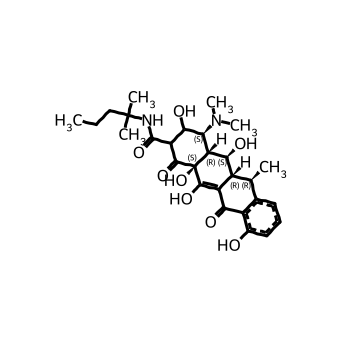 CCCC(C)(C)NC(=O)C1C(=O)[C@@]2(O)C(O)=C3C(=O)c4c(O)cccc4[C@H](C)[C@H]3[C@H](O)[C@H]2[C@H](N(C)C)C1O